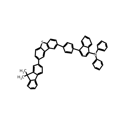 CC1(C)c2ccccc2-c2ccc(-c3ccc4sc5ccc(-c6ccc(-c7ccc(N(c8ccccc8)c8ccccc8)c8ccccc78)cc6)cc5c4c3)cc21